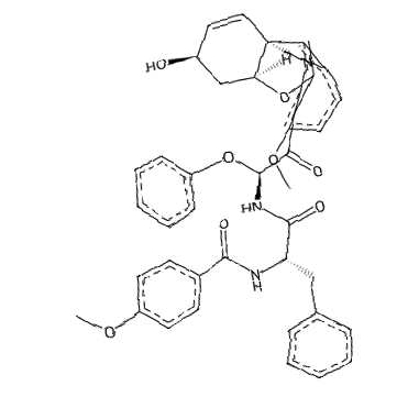 COc1ccc(C(=O)N[C@@H](Cc2ccccc2)C(=O)N[C@@H](Oc2ccccc2)C(=O)N2CC[C@@]34C=C[C@H](O)C[C@@H]3Oc3c(OC)ccc(c34)C2)cc1